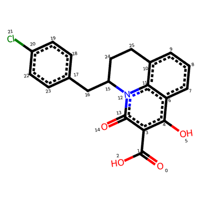 O=C(O)c1c(O)c2cccc3c2n(c1=O)C(Cc1ccc(Cl)cc1)CC3